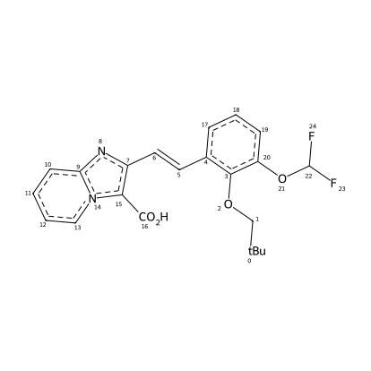 CC(C)(C)COc1c(C=Cc2nc3ccccn3c2C(=O)O)cccc1OC(F)F